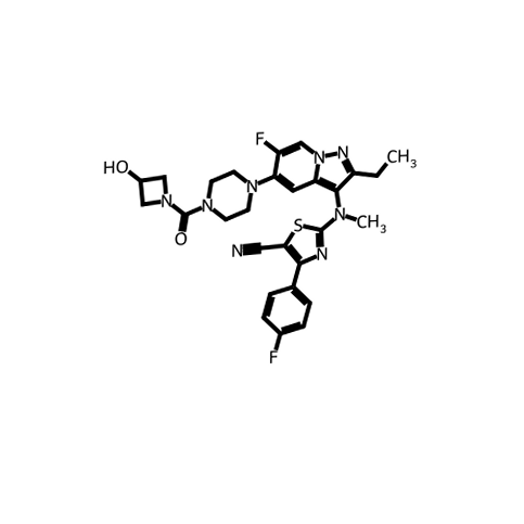 CCc1nn2cc(F)c(N3CCN(C(=O)N4CC(O)C4)CC3)cc2c1N(C)c1nc(-c2ccc(F)cc2)c(C#N)s1